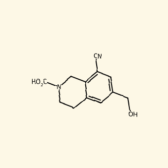 N#Cc1cc(CO)cc2c1CN(C(=O)O)CC2